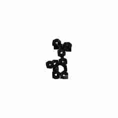 C1=C\c2ccc(-c3ccc4c(c3)c3ncccc3n4-c3ccccn3)cc2-c2ccc3ccccc3c2Oc2ccccc2-c2ccccc2/1